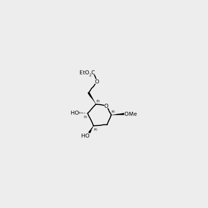 CCOC(=O)OC[C@H]1O[C@@H](OC)C[C@@H](O)[C@@H]1O